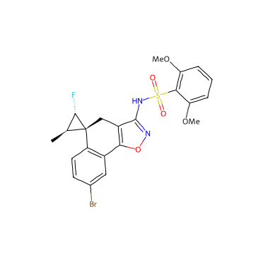 COc1cccc(OC)c1S(=O)(=O)Nc1noc2c1C[C@@]1(c3ccc(Br)cc3-2)[C@@H](C)[C@@H]1F